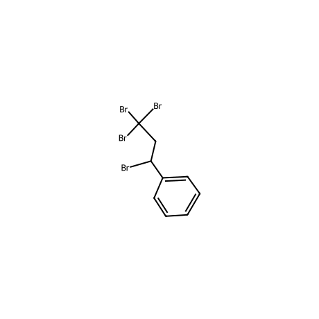 BrC(CC(Br)(Br)Br)c1ccccc1